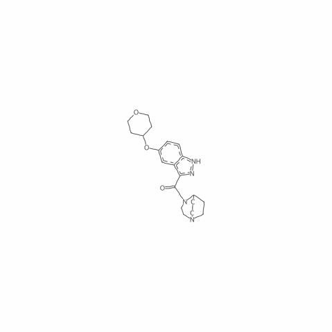 O=C(c1n[nH]c2ccc(OC3CCOCC3)cc12)N1CCN2CCC1CC2